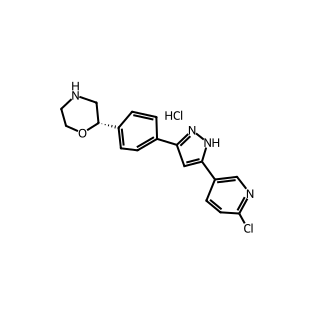 Cl.Clc1ccc(-c2cc(-c3ccc([C@H]4CNCCO4)cc3)n[nH]2)cn1